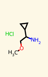 COCC(N)C1CC1.Cl